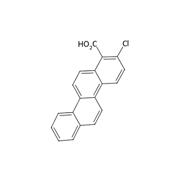 O=C(O)c1c(Cl)ccc2c1ccc1c3ccccc3ccc21